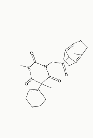 CN1C(=O)N(CC(=O)C2C3=C4CCC(=C2CC3)C4)C(=O)C(C)(C2=CCCCC2)C1=O